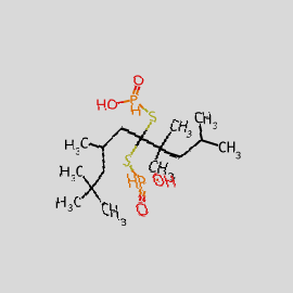 CC(C)CC(C)(C)C(CC(C)CC(C)(C)C)(S[PH](=O)O)S[PH](=O)O